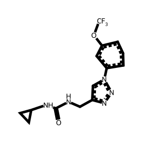 O=C(NCc1cn(-c2cccc(OC(F)(F)F)c2)nn1)NC1CC1